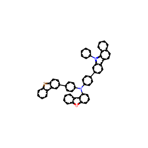 c1ccc(-n2c3cc(-c4ccc(N(c5ccc(-c6ccc7sc8ccccc8c7c6)cc5)c5cccc6oc7ccccc7c56)cc4)ccc3c3ccc4ccccc4c32)cc1